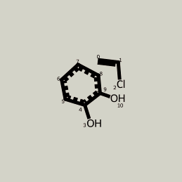 C=CCl.Oc1ccccc1O